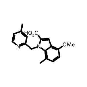 COc1ccc(C)c2c1cc(C(=O)O)n2Cc1cc(C)ccn1